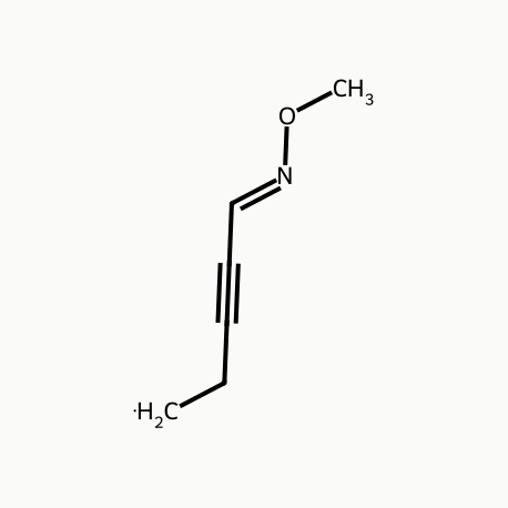 [CH2]CC#C/C=N/OC